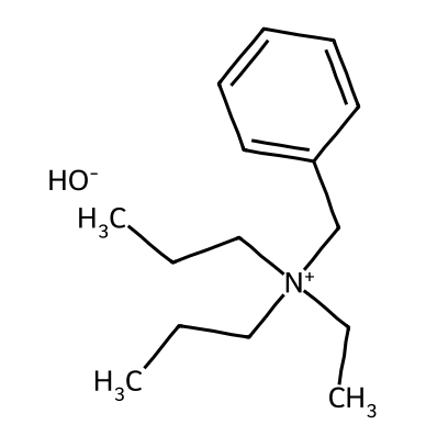 CCC[N+](CC)(CCC)Cc1ccccc1.[OH-]